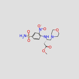 COC(=O)C[C@@H](CN1CCOCC1)Nc1ccc(S(N)(=O)=O)cc1[N+](=O)[O-]